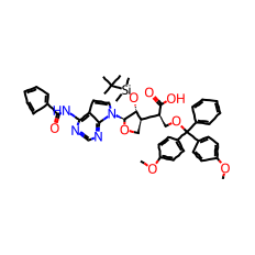 COc1ccc(C(OC[C@H](C(=O)O)[C@H]2CO[C@@H](n3ccc4c(NC(=O)c5ccccc5)ncnc43)[C@@H]2O[Si](C)(C)C(C)(C)C)(c2ccccc2)c2ccc(OC)cc2)cc1